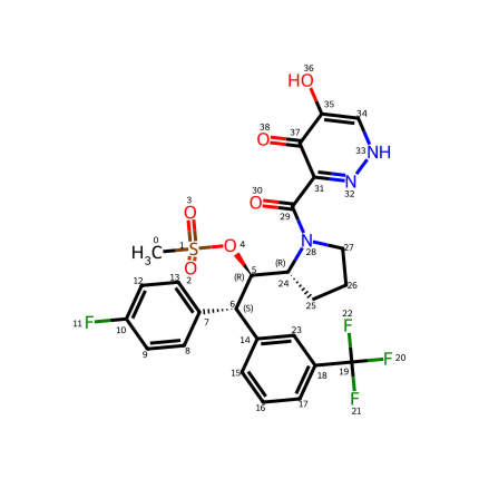 CS(=O)(=O)O[C@H]([C@@H](c1ccc(F)cc1)c1cccc(C(F)(F)F)c1)[C@H]1CCCN1C(=O)c1n[nH]cc(O)c1=O